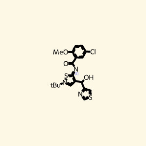 COc1ccc(Cl)cc1C(=O)/N=c1\sn(C(C)(C)C)cc1C(O)c1cscn1